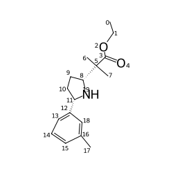 CCOC(=O)C(C)(C)[C@H]1CC[C@@H](c2cccc(C)c2)N1